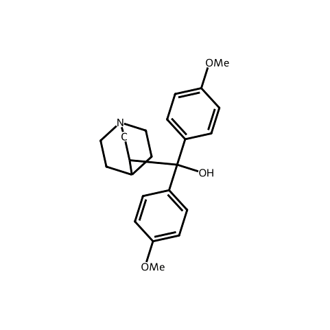 COc1ccc(C(O)(c2ccc(OC)cc2)C2CN3CCC2CC3)cc1